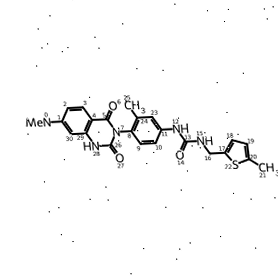 CNc1ccc2c(=O)n(-c3ccc(NC(=O)NCc4ccc(C)s4)cc3C)c(=O)[nH]c2c1